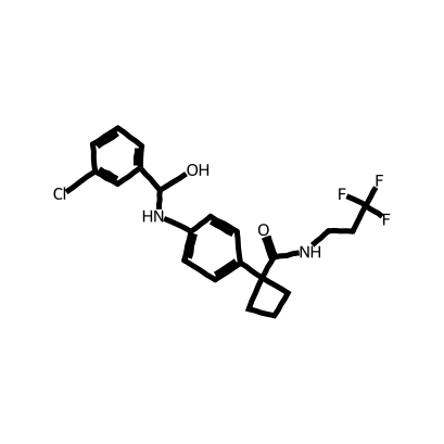 O=C(NCCC(F)(F)F)C1(c2ccc(NC(O)c3cccc(Cl)c3)cc2)CCC1